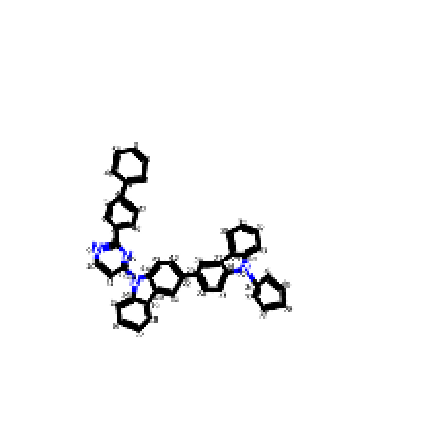 c1ccc(-c2ccc(-c3nccc(-n4c5ccccc5c5cc(-c6ccc7c(c6)c6ccccc6n7-c6ccccc6)ccc54)n3)cc2)cc1